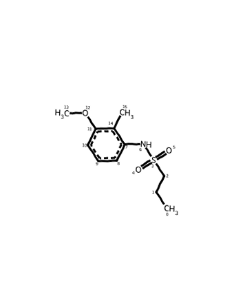 CCCS(=O)(=O)Nc1cccc(OC)c1C